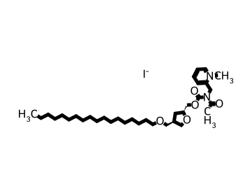 CCCCCCCCCCCCCCCCCCOC[C@@H]1CO[C@@H](COC(=O)N(Cc2cccc[n+]2C)C(C)=O)C1.[I-]